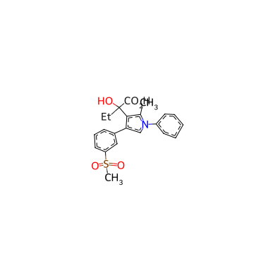 CCC(O)(C(=O)O)c1c(-c2cccc(S(C)(=O)=O)c2)cn(-c2ccccc2)c1C